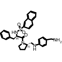 NCc1ccc(NC[C@@H]2CCCN2C(=O)[C@@H](Cc2ccccc2)NS(=O)(=O)c2ccc3ccccc3c2)cc1